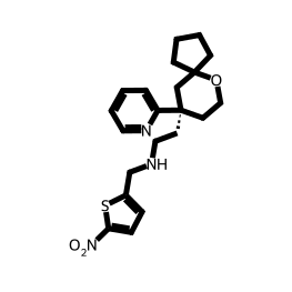 O=[N+]([O-])c1ccc(CNCC[C@@]2(c3ccccn3)CCOC3(CCCC3)C2)s1